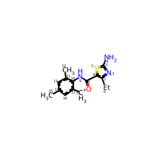 CCc1nc(N)sc1C(=O)Nc1c(C)cc(C)cc1C